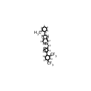 Cc1ccccc1-c1nc2cnn(Cc3cc(-c4ccc(C(F)(F)F)cc4C(F)(F)F)no3)cc-2n1